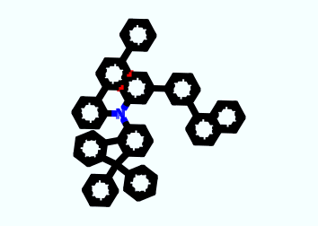 c1ccc(-c2ccc(-c3ccccc3N(c3cccc(-c4cccc(-c5cccc6ccccc56)c4)c3)c3cccc4c3-c3ccccc3C4(c3ccccc3)c3ccccc3)cc2)cc1